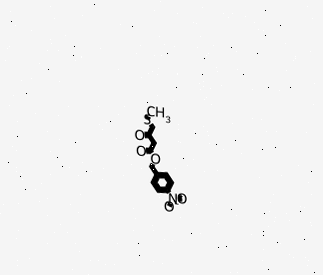 CSCC(=O)CC(=O)OCc1ccc([N+](=O)[O-])cc1